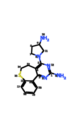 Nc1nc2c(c(N3CCC(N)C3)n1)CCSc1ccccc1-2